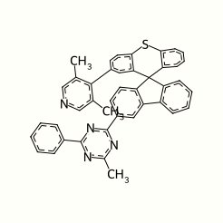 Cc1nc(-c2ccccc2)nc(-c2ccc3c(c2)-c2ccccc2C32c3ccccc3Sc3ccc(-c4c(C)cncc4C)cc32)n1